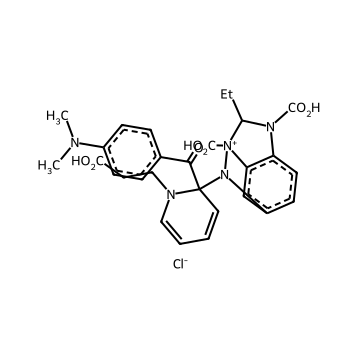 CCC1N(C(=O)O)c2ccc3cc2[N+]1(C(=O)O)N3C1(C(=O)c2ccc(N(C)C)cc2)C=CC=CN1CCC(=O)O.[Cl-]